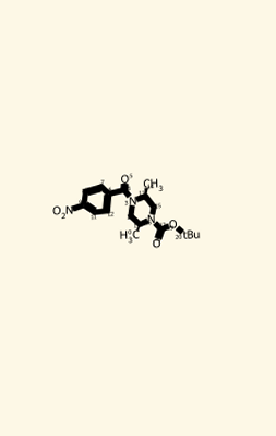 C[C@@H]1CN(C(=O)c2ccc([N+](=O)[O-])cc2)[C@@H](C)CN1C(=O)OC(C)(C)C